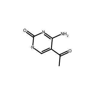 CC(=O)C1=C[N]C(=O)N=C1N